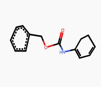 O=C(NC1=[C]C=CCC1)OCc1ccccc1